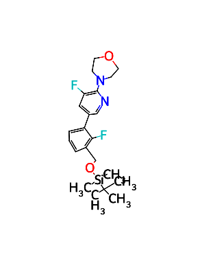 CC(C)(C)[Si](C)(C)OCc1cccc(-c2cnc(N3CCOCC3)c(F)c2)c1F